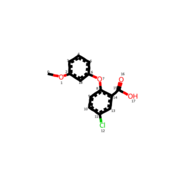 COc1cccc(Oc2ccc(Cl)cc2C(=O)O)c1